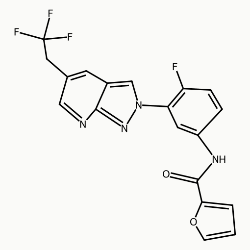 O=C(Nc1ccc(F)c(-n2cc3cc(CC(F)(F)F)cnc3n2)c1)c1ccco1